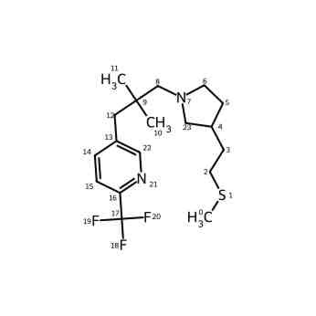 CSCCC1CCN(CC(C)(C)Cc2ccc(C(F)(F)F)nc2)C1